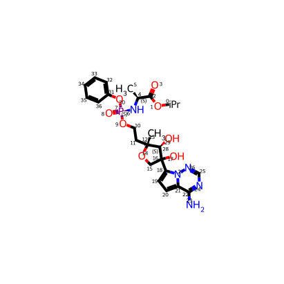 CC(C)OC(=O)[C@H](C)N[P@](=O)(OCC[C@@]1(C)OCC(O)(c2ccc3c(N)ncnn23)[C@@H]1O)Oc1ccccc1